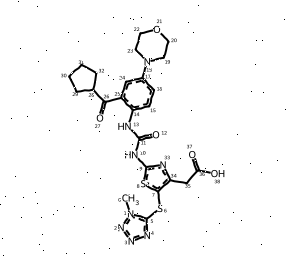 Cn1nnnc1Sc1sc(NC(=O)Nc2ccc(N3CCOCC3)cc2C(=O)C2CCCC2)nc1CC(=O)O